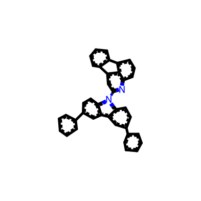 c1ccc(-c2ccc3c(c2)c2cc(-c4ccccc4)ccc2n3-c2cc3c4c(cccc4n2)-c2ccccc2-3)cc1